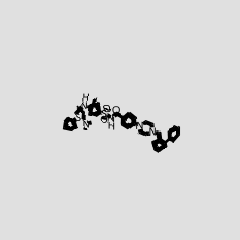 Cc1cc(S(=O)(=O)NC(=O)c2ccc(N3CCN(Cc4ccccc4-c4ccccc4)CC3)cc2)ccc1N[C@](C)(CCN(C)C)CSc1ccccc1